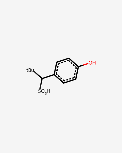 CC(C)(C)C(c1ccc(O)cc1)S(=O)(=O)O